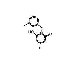 Cc1cccc(Cn2c(O)cc(C)cc2=O)c1